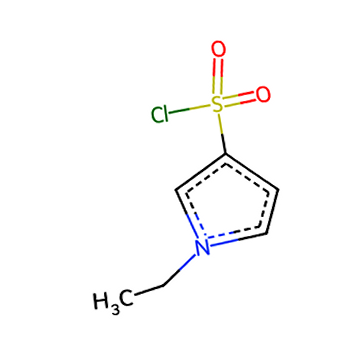 CCn1ccc(S(=O)(=O)Cl)c1